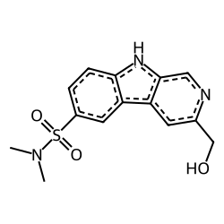 CN(C)S(=O)(=O)c1ccc2[nH]c3cnc(CO)cc3c2c1